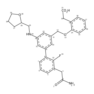 NC(=O)Cc1cccc(-c2cc(COc3ccccc3CC(=O)O)cc(NCC3CCCO3)c2)c1F